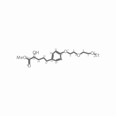 CCOCCOCCOc1ccc(CCC[C@@H](O)C(=O)OC)cc1